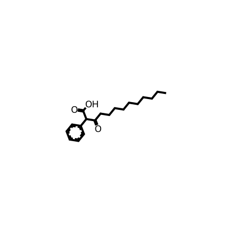 CCCCCCCCCCC(=O)C(C(=O)O)c1ccccc1